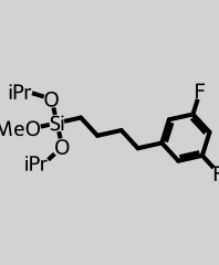 CO[Si](CCCCc1cc(F)cc(F)c1)(OC(C)C)OC(C)C